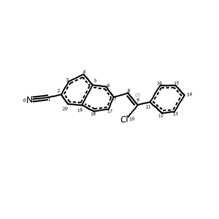 N#Cc1ccc2cc(/C=C(\Cl)c3ccccc3)ccc2c1